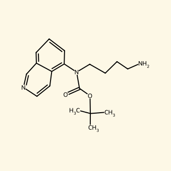 CC(C)(C)OC(=O)N(CCCCN)c1cccc2cnccc12